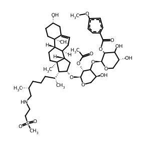 COc1ccc(C(=O)O[C@@H]2C(O)[C@H](O)CO[C@H]2OC2[C@@H](OC(C)=O)[C@H](O[C@H]3C[C@H]4[C@@H]5CC=C6C[C@@H](O)CC[C@]6(C)[C@H]5CC[C@]4(C)[C@H]3[C@H](C)CCC[C@@H](C)CNCCS(C)(=O)=O)OC[C@@H]2O)cc1